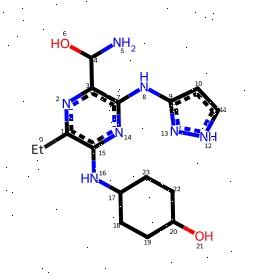 CCc1nc(C(N)O)c(Nc2cc[nH]n2)nc1NC1CCC(O)CC1